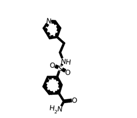 NC(=O)c1cccc(S(=O)(=O)NCCc2ccncc2)c1